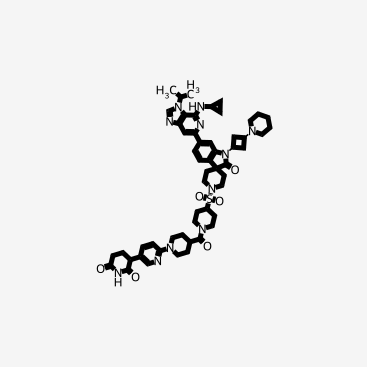 CC(C)n1cnc2cc(-c3ccc4c(c3)N([C@H]3C[C@@H](N5CCCCC5)C3)C(=O)C43CCN(S(=O)(=O)C4CCN(C(=O)C5CCN(c6ccc(C7CCC(=O)NC7=O)cn6)CC5)CC4)CC3)nc(NC3CC3)c21